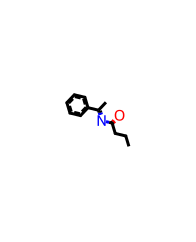 CCCC(=O)/N=C(\C)c1ccccc1